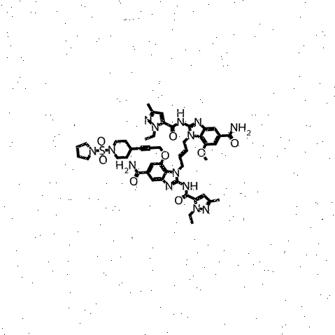 CCn1nc(C)cc1C(=O)Nc1nc2cc(C(N)=O)cc(OC)c2n1CC=CCn1c(NC(=O)c2cc(C)nn2CC)nc2cc(C(N)=O)cc(OCC#CC3CCN(S(=O)(=O)N4CCCC4)CC3)c21